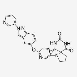 O=C1NC(=O)C2(CCCN2c2ccc(Oc3ccc4nn(-c5cccnc5)cc4c3)nc2)C(=O)N1